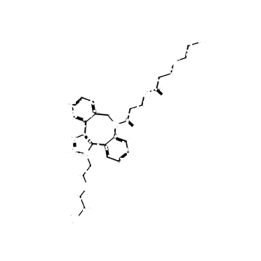 CC(C)CCOCCC(=O)NCCC(=O)N1Cc2ccccc2-c2nnn(CCOCCC(C)C)c2-c2ccccc21